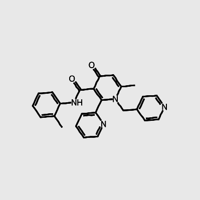 Cc1ccccc1NC(=O)c1c(-c2ccccn2)n(Cc2ccncc2)c(C)cc1=O